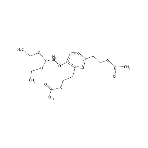 CCOC(OCC)[SiH2]Oc1ccc(CCSC(C)=O)cc1CCSC(C)=O